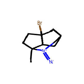 CC12CCC3(Br)CC(CC31)[N+]2=[N-]